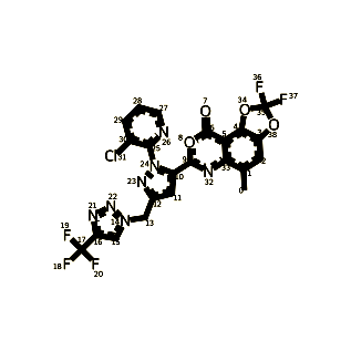 Cc1cc2c(c3c(=O)oc(-c4cc(Cn5cc(C(F)(F)F)nn5)nn4-c4ncccc4Cl)nc13)OC(F)(F)O2